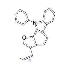 C/C=C\c1coc2c1ccc1c3ccccc3n(-c3ccccc3)c12